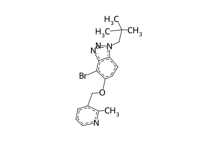 Cc1ncccc1COc1ccc2c(nnn2CC(C)(C)C)c1Br